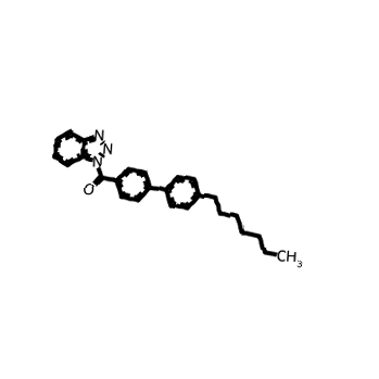 CCCCCCCc1ccc(-c2ccc(C(=O)n3nnc4ccccc43)cc2)cc1